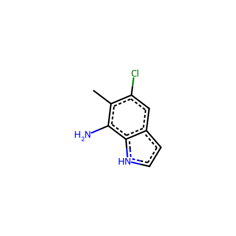 Cc1c(Cl)cc2cc[nH]c2c1N